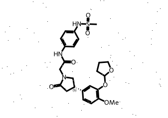 COc1ccc([C@@H]2CC(=O)N(CC(=O)Nc3ccc(NS(C)(=O)=O)cc3)C2)cc1OC1CCCO1